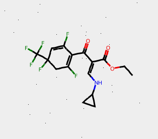 CCOC(=O)C(=CNC1CC1)C(=O)C1=C(F)CC(F)(C(F)(F)F)C=C1F